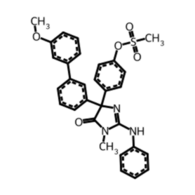 COc1cccc(-c2cccc(C3(c4ccc(OS(C)(=O)=O)cc4)N=C(Nc4ccccc4)N(C)C3=O)c2)c1